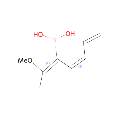 C=C/C=C\C(B(O)O)=C(/C)OC